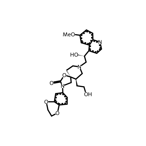 COc1ccc2nccc([C@@H](O)CN3CC[C@@]4(CN(c5ccc6c(c5)OCCO6)C(=O)O4)[C@H](CCO)C3)c2c1